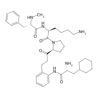 CN[C@@H](Cc1ccccc1)C(=O)N[C@@H](CCCCN)C(=O)N1CCC[C@H]1C(=O)CCc1ccccc1NC(=O)[C@H](N)CC1CCCCC1